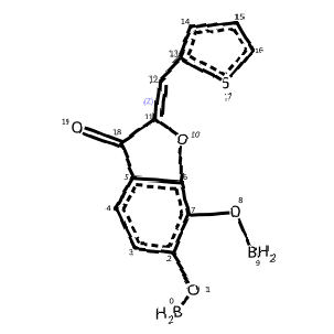 BOc1ccc2c(c1OB)O/C(=C\c1cccs1)C2=O